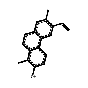 C=Cc1cc2c(ccc3c(C)c(O)ccc32)cc1C